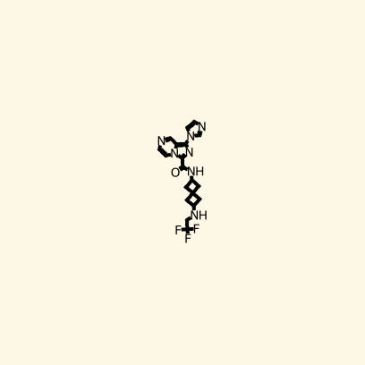 O=C(NC1CC2(CC(NCC(F)(F)F)C2)C1)c1nc(-n2ccnc2)c2cnccn12